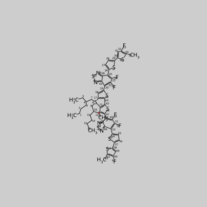 CCCCC(CC)CS1(CC(CC)CCCC)c2cc(-c3c(F)c(F)c(-c4ccc(-c5cc(F)c(C)s5)s4)c4nsnc34)sc2-c2sc(-c3c(F)c(F)c(-c4ccc(-c5cc(F)c(C)s5)s4)c4nsnc34)cc21